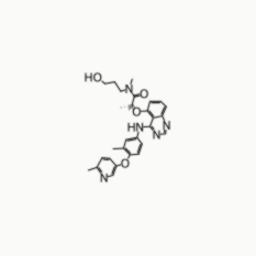 Cc1ccc(Oc2ccc(Nc3ncnc4cccc(O[C@H](C)C(=O)N(C)CCCO)c34)cc2C)cn1